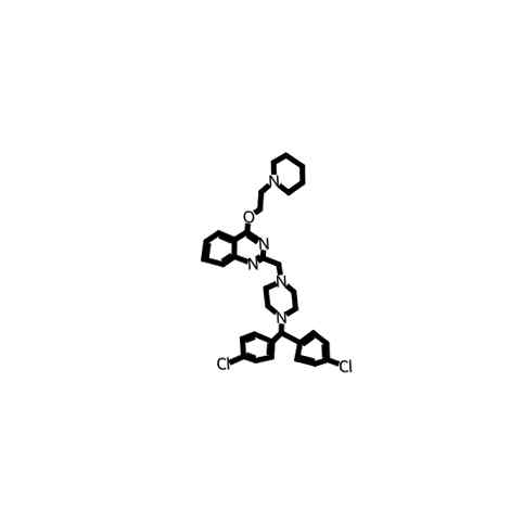 Clc1ccc(C(c2ccc(Cl)cc2)N2CCN(Cc3nc(OCCN4CCCCC4)c4ccccc4n3)CC2)cc1